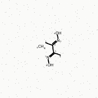 C.CC(=N\O)/C(C)=N/O